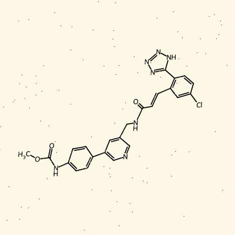 COC(=O)Nc1ccc(-c2cncc(CNC(=O)/C=C/c3cc(Cl)ccc3-c3nnn[nH]3)c2)cc1